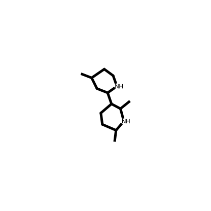 CC1CCNC(C2CCC(C)NC2C)C1